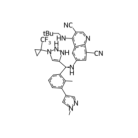 Cc1c(-c2cnn(C)c2)cccc1[C@H](Nc1cc(C#N)c2ncc(C#N)c(NCC(C)(C)C)c2c1)C1=CN(C2(C(F)(F)F)CC2)NN1